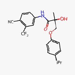 CC(C)c1ccc(OCC(C)(O)C(=O)Nc2ccc(C#N)c(C(F)(F)F)c2)cc1